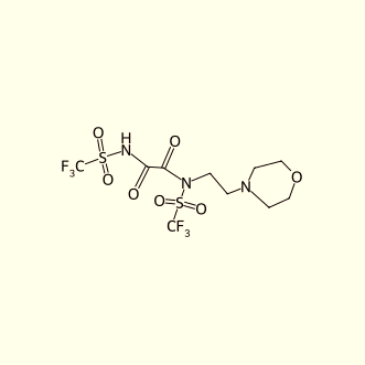 O=C(NS(=O)(=O)C(F)(F)F)C(=O)N(CCN1CCOCC1)S(=O)(=O)C(F)(F)F